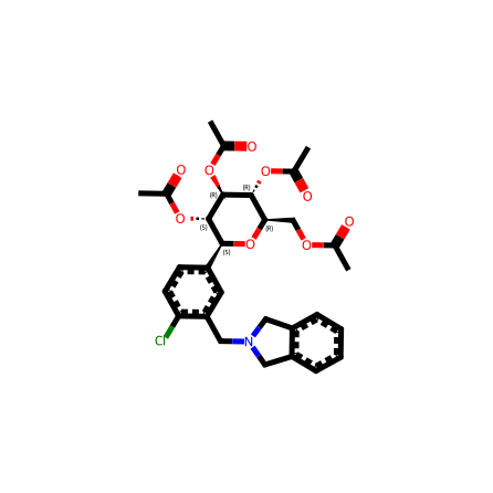 CC(=O)OC[C@H]1O[C@@H](c2ccc(Cl)c(CN3Cc4ccccc4C3)c2)[C@H](OC(C)=O)[C@@H](OC(C)=O)[C@@H]1OC(C)=O